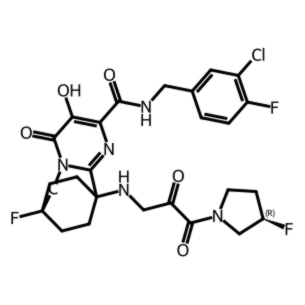 O=C(CNC12CCC(F)(CC1)Cn1c2nc(C(=O)NCc2ccc(F)c(Cl)c2)c(O)c1=O)C(=O)N1CC[C@@H](F)C1